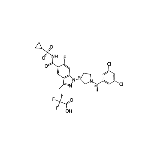 Cc1nn([C@@H]2CCN([C@H](C)c3cc(Cl)cc(Cl)c3)C2)c2cc(F)c(C(=O)NS(=O)(=O)C3CC3)cc12.O=C(O)C(F)(F)F